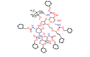 CC(C)(C)[Si](C)(C)OC[C@H]1O[C@@H](O[C@@H]2[C@@H](O)[C@H](NC(=O)OCc3ccccc3)C[C@H](NC(=O)OCc3ccccc3)[C@H]2O[C@H]2O[C@@H]3COC(c4ccccc4)O[C@H]3[C@H](O)[C@H]2NC(=O)OCc2ccccc2)[C@H](OCCOC/C=C/c2ccccc2)[C@@H]1O[C@H]1O[C@@H](CNC(=O)OCc2ccccc2)[C@@H](O)[C@H](O)[C@H]1NC(=O)OCc1ccccc1